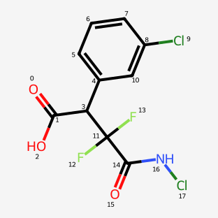 O=C(O)C(c1cccc(Cl)c1)C(F)(F)C(=O)NCl